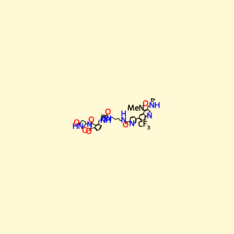 CNc1c(C(=O)NC2CC2)cnc2cc(C(F)(F)F)c(-c3ccc(C(=O)NCCCCNC(=O)[C@@H](C)NCc4cccc5c4C(=O)N(C4CCC(=O)NC4=O)C5=O)nc3)cc12